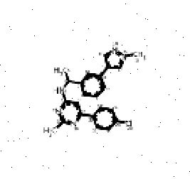 Cc1nc(NC(C)c2cccc(-c3cnn(C)c3)c2)cc(-c2ccc(Cl)cc2)n1